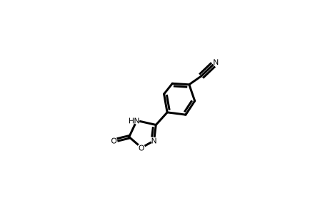 N#Cc1ccc(-c2noc(=O)[nH]2)cc1